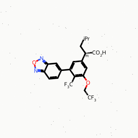 CC(C)C[C@@H](C(=O)O)c1cc(OCC(F)(F)F)c(C(F)(F)F)c(-c2ccc3nonc3c2)c1